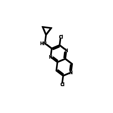 Clc1cc2nc(NC3CC3)c(Cl)nc2cn1